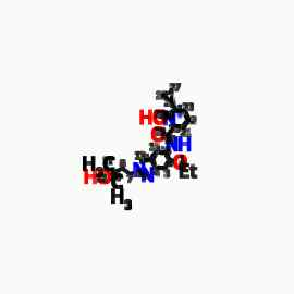 CCOc1cc2nn(CCC(C)(C)O)cc2cc1NC(=O)c1cccc(C2CC2)[n+]1O